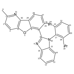 Cc1ccc2oc3c(-c4nc5ccccc5n4-c4c(C(C)C)cccc4C(C)C)c(C)ccc3c2n1